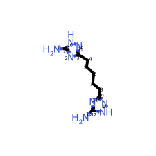 Nc1nc(CCCCCc2n[nH]c(N)n2)n[nH]1